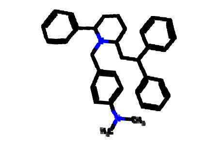 CN(C)c1ccc(CN2C(CC(c3ccccc3)c3ccccc3)CCCC2c2ccccc2)cc1